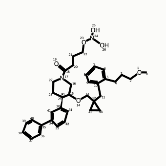 COCCCc1ccccc1CC1(COC2CN(C(=O)CCCON(O)O)CC[C@@H]2c2cccc(-c3ccccc3)c2)CC1